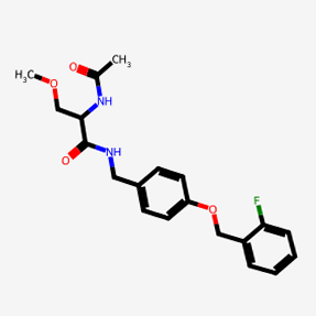 COCC(NC(C)=O)C(=O)NCc1ccc(OCc2ccccc2F)cc1